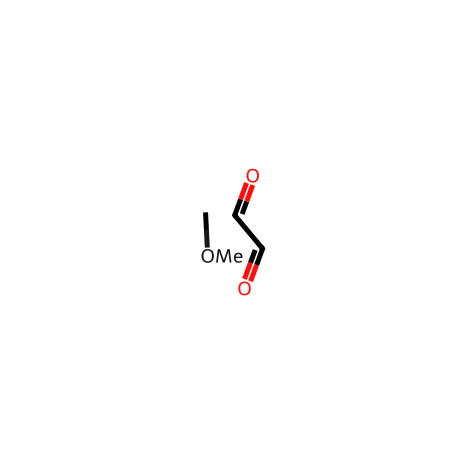 COC.O=CC=O